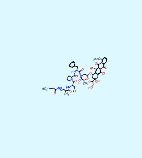 COc1cccc2c1C(=O)c1c(O)c3c(c(O)c1C2=O)CC(O)(C(=O)CO)CC3OC1CC(NC(=O)C(Cc2ccccc2)NC(=O)C2CCCN2C(=O)C(CC(C)C)NC(=O)C(C)CCNC(=O)CCC(=O)O)C(O)C(C)O1